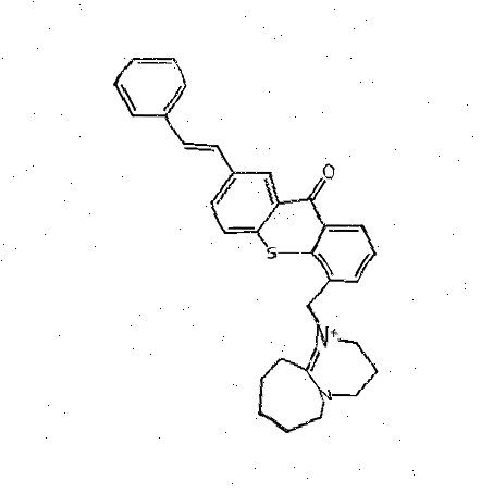 O=c1c2cc(/C=C/c3ccccc3)ccc2sc2c(C[N+]3=C4CCCCCN4CCC3)cccc12